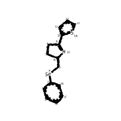 c1ccc([Se]CC2CCC(c3cccs3)=N2)cc1